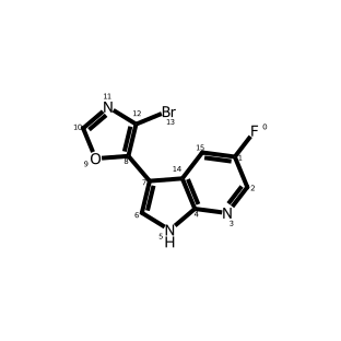 Fc1cnc2[nH]cc(-c3ocnc3Br)c2c1